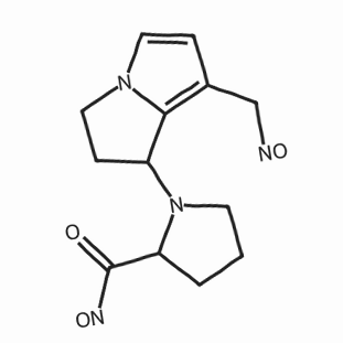 O=NCc1ccn2c1C(N1CCCC1C(=O)N=O)CC2